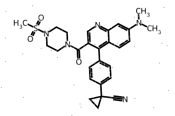 CN(C)c1ccc2c(-c3ccc(C4(C#N)CC4)cc3)c(C(=O)N3CCN(S(C)(=O)=O)CC3)cnc2c1